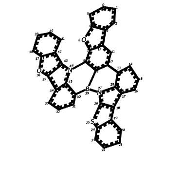 c1ccc2c(c1)oc1c3c4c(cc12)-c1cccc2c5c6ccccc6sc5n(c12)B4c1cccc2c4oc5ccccc5c4n-3c12